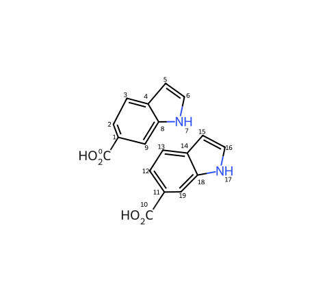 O=C(O)c1ccc2cc[nH]c2c1.O=C(O)c1ccc2cc[nH]c2c1